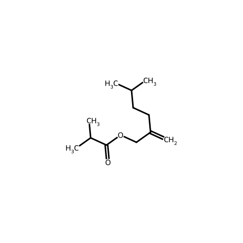 C=C(CCC(C)C)COC(=O)C(C)C